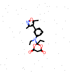 CCN(c1cccc(-c2c(C)noc2C)c1)C1(CC)OC(=O)CC(=O)O1